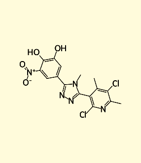 Cc1nc(Cl)c(-c2nnc(-c3cc(O)c(O)c([N+](=O)[O-])c3)n2C)c(C)c1Cl